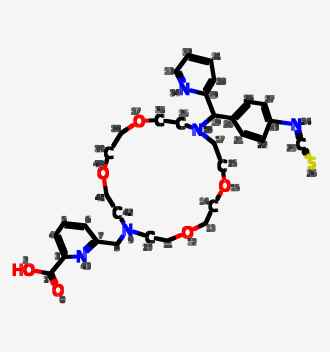 O=C(O)c1cccc(CN2CCOCCOCCN(C(c3ccc(N=C=S)cc3)c3ccccn3)CCOCCOCC2)n1